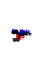 CC(C)C[C@@H](C(N)=O)C(=O)N[C@@H](CC(=O)OC(C)(C)C)C(=O)Nc1ccc2ncccc2c1